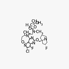 CC1CCOc2nc(Cl)c(F)c3nc(OC[C@@]45CCCN4C[C@H](F)C5)nc(c23)N1CCN(C)C(=O)OC(C)(C)C